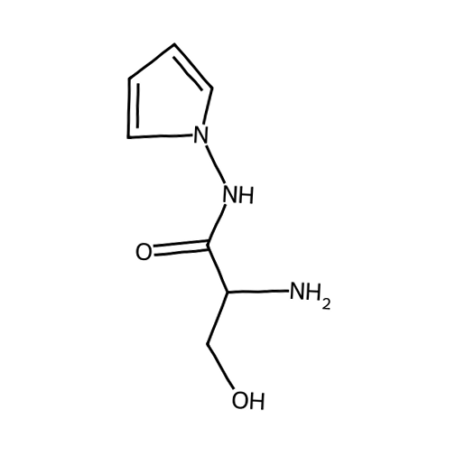 NC(CO)C(=O)Nn1cccc1